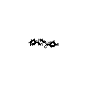 O=C(Nc1cnc(-c2cccnc2)cn1)c1ccc(F)cc1